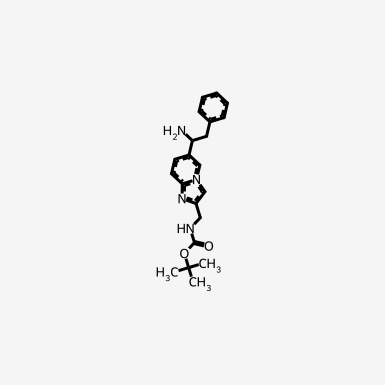 CC(C)(C)OC(=O)NCc1cn2cc(C(N)Cc3ccccc3)ccc2n1